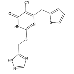 N#Cc1c(Cc2cccs2)nc(SCc2ncn[nH]2)[nH]c1=O